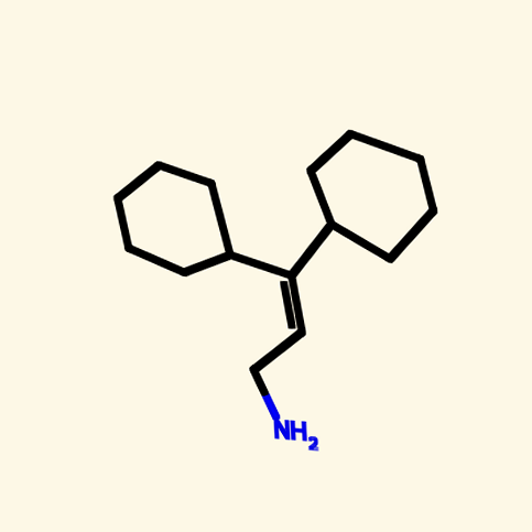 NCC=C(C1CCCCC1)C1CCCCC1